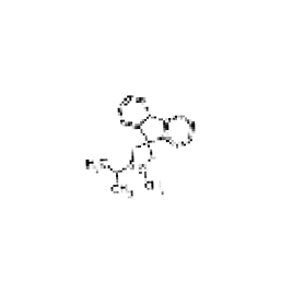 COCC1(CSC(C)C)c2ccccc2-c2ccccc21